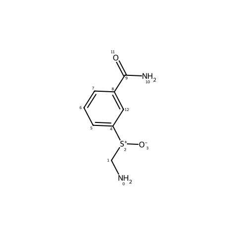 NC[S+]([O-])c1cccc(C(N)=O)c1